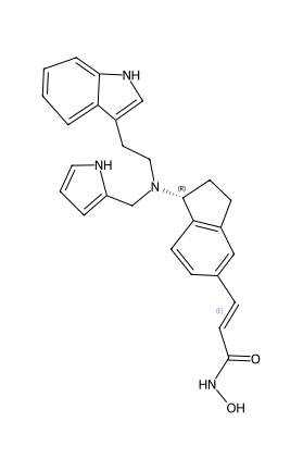 O=C(/C=C/c1ccc2c(c1)CC[C@H]2N(CCc1c[nH]c2ccccc12)Cc1ccc[nH]1)NO